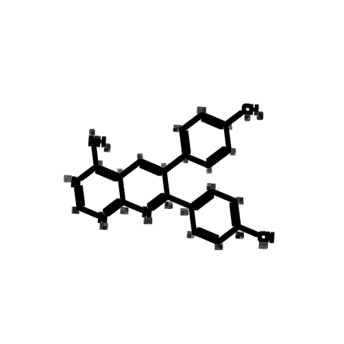 Cc1ccc(-c2cc3c(N)ncnc3nc2-c2ccc(C#N)cc2)cc1